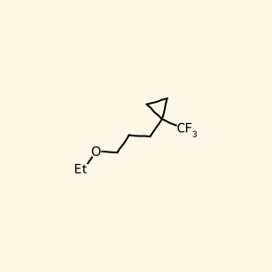 CCOCCCC1(C(F)(F)F)CC1